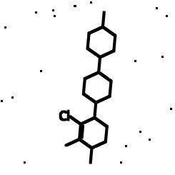 CC1=C(Cl)C(C2CCC(C3CCC(C)CC3)CC2)CCC1C